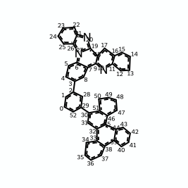 c1cc(-c2ccc3c(c2)c2nc4ccccc4cc2c2nc4ccccc4n32)cc(-c2cc3c4ccccc4c4ccccc4c3c3ccccc23)c1